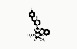 Cn1c(=O)c2c(nc(N3CCNC(Cc4ccc(F)cc4)C3)n2Cc2ccccc2)n(C)c1=O